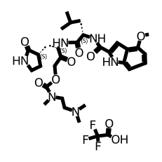 COc1cccc2[nH]c(C(=O)N[C@@H](CC(C)C)C(=O)N[C@@H](C[C@@H]3CCNC3=O)C(=O)COC(=O)N(C)CCN(C)C)cc12.O=C(O)C(F)(F)F